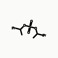 CC(C)C(C)OS(=O)(=O)OC(C)C(C)C